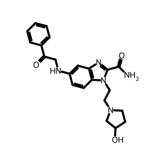 NC(=O)c1nc2cc(NCC(=O)c3ccccc3)ccc2n1CCN1CCC(O)C1